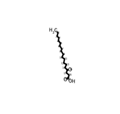 CCCCCCCCCCCCCCCC(=O)CCC(=O)O